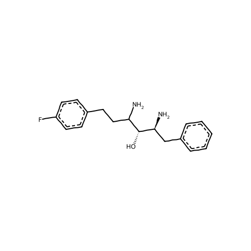 NC(CCc1ccc(F)cc1)[C@@H](O)[C@@H](N)Cc1ccccc1